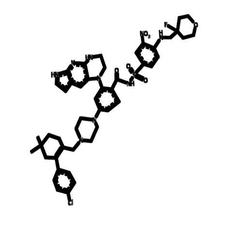 CC1(C)CCC(CN2CCN(c3ccc(C(=O)NS(=O)(=O)c4ccc(NCC5(F)CCOCC5)c([N+](=O)[O-])c4)c(N4CCNc5nc6[nH]ccc6cc54)c3)CC2)=C(c2ccc(Cl)cc2)C1